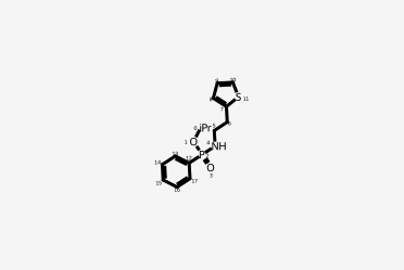 CC(C)OP(=O)(NCCc1cccs1)c1ccccc1